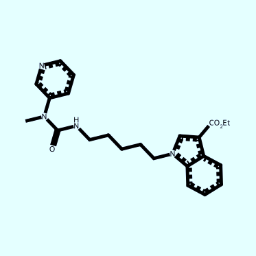 CCOC(=O)c1cn(CCCCCNC(=O)N(C)c2cccnc2)c2ccccc12